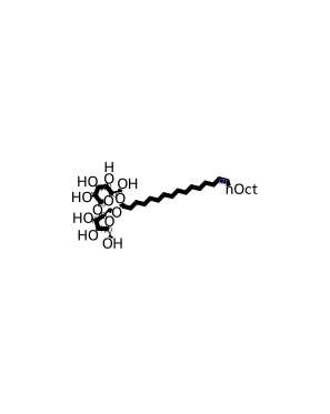 CCCCCCCC/C=C\CCCCCCCCCCCCCC(=O)OC[C@@]1(O[C@H]2O[C@H](CO)[C@@H](O)[C@H](O)[C@H]2O)O[C@H](CO)[C@@H](O)[C@@H]1O